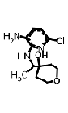 CC(Nc1nc(Cl)ccc1N)C1(O)CCOCC1